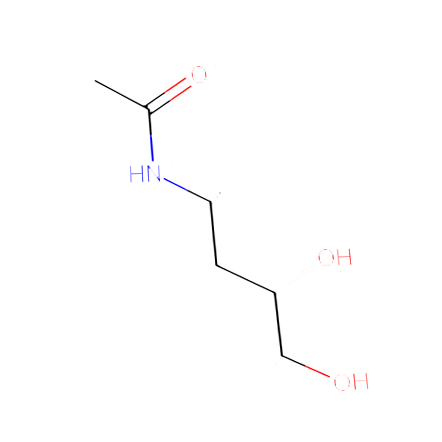 CC(=O)NCC[C@H](O)CO